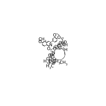 COc1ccc2c(O[C@@H]3C[C@H]4C(=O)N[C@]5(C(=O)NS(=O)(=O)C6CC6)C[C@H]5C=CCC[C@H](C)C[C@@H](C)[C@H](N(C(=O)O)C(C)(C)C(C)(F)F)C(=O)N4C3)nc(-c3ccc4c(c3)OCCO4)cc2c1